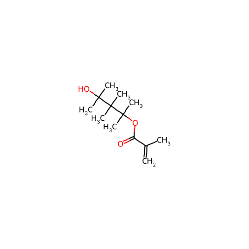 C=C(C)C(=O)OC(C)(C)C(C)(C)C(C)(C)O